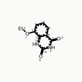 CCOc1cccc2c(=O)[nH]c(=O)[nH]c12